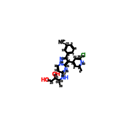 Cc1cc(-c2c(-c3cccc(C#N)c3)nn3ccc(N[C@@H](C)[C@H](O)CO)nc23)cc(Cl)n1